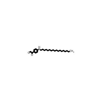 CCCCCCCCCCCCCCCCCCNc1ccc(C(=O)C=O)cc1